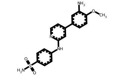 COc1ccc(-c2ccnc(Nc3ccc(S(N)(=O)=O)cc3)c2)cc1N